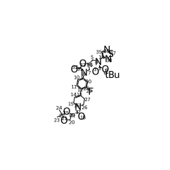 CC(C)(C)OC(=O)N(C[C@H]1CN(c2ccc(C3=CCN(C(=O)[C@@H]4COC(C)(C)O4)CC3)c(F)c2)C(=O)O1)c1cnsn1